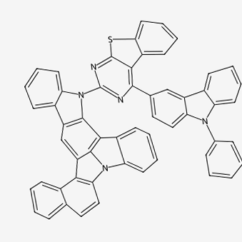 c1ccc(-n2c3ccccc3c3cc(-c4nc(-n5c6ccccc6c6cc7c8c9ccccc9ccc8n8c9ccccc9c(c65)c78)nc5sc6ccccc6c45)ccc32)cc1